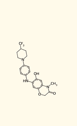 CN1C(=O)COc2cc(Nc3ccc(N4CCC(C(F)(F)F)CC4)cc3)c(O)cc21